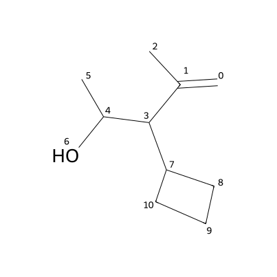 C=C(C)C(C(C)O)C1CCC1